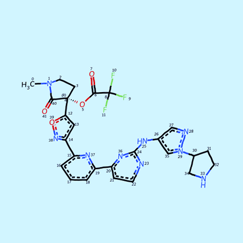 CN1CC[C@@](OC(=O)C(F)(F)F)(c2cc(-c3cccc(-c4ccnc(Nc5cnn(C6CCNC6)c5)n4)n3)no2)C1=O